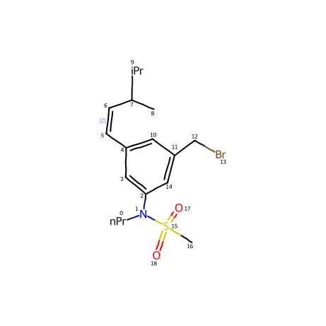 CCCN(c1cc(/C=C\C(C)C(C)C)cc(CBr)c1)S(C)(=O)=O